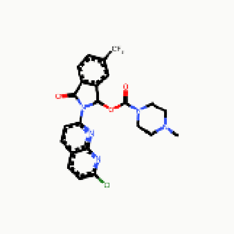 CN1CCN(C(=O)OC2c3cc(C(F)(F)F)ccc3C(=O)N2c2ccc3ccc(Cl)nc3n2)CC1